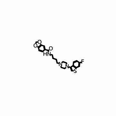 O=C(NCCCCN1CCN(c2csc3cc(F)ccc23)CC1)c1ccc2c(c1)OCO2